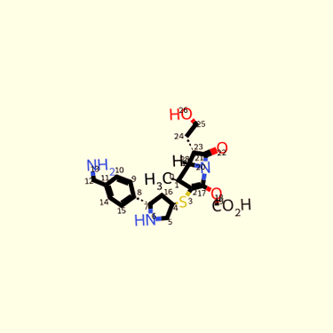 C[C@H]1C(S[C@@H]2CN[C@H](c3ccc(CN)cc3)C2)=C(OC(=O)O)N2C(=O)[C@@H](CCO)[C@@H]12